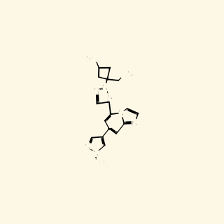 Cn1cc(-c2cc(-c3cnn(C4(CC#N)CC(C#N)C4)n3)n3ccnc3c2)cn1